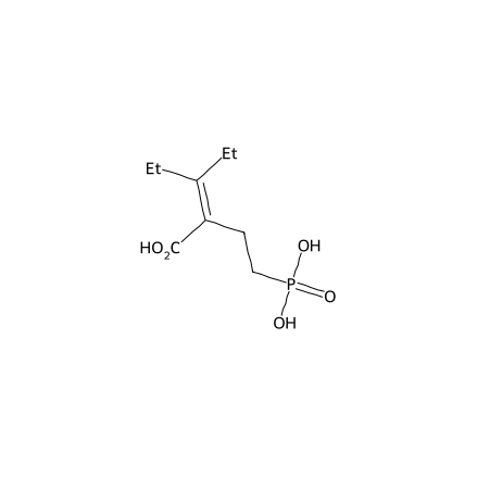 CCC(CC)=C(CCP(=O)(O)O)C(=O)O